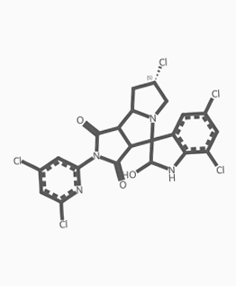 O=C1C2C3C[C@H](Cl)CN3C3(c4cc(Cl)cc(Cl)c4NC3O)C2C(=O)N1c1cc(Cl)cc(Cl)n1